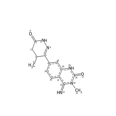 CC1CC(=O)NN=C1c1ccc2c(=N)n(C)c(=O)[nH]c2c1